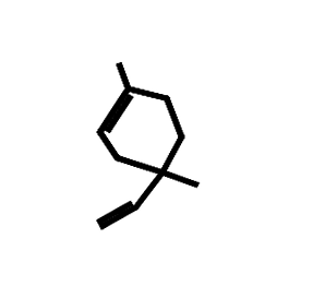 C=CC1(C)CC=C(C)CC1